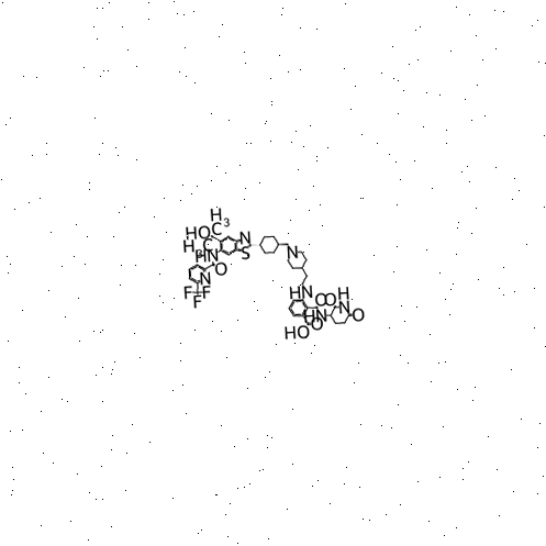 CC(C)(O)c1cc2nc([C@H]3CC[C@H](CN4CCC(CCNc5cccc(C(=O)O)c5C(=O)NC5CCC(=O)NC5=O)CC4)CC3)sc2cc1NC(=O)c1cccc(C(F)(F)F)n1